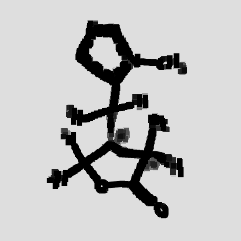 [2H]C1([2H])OC(=O)[C@@]([2H])(CC)[C@H]1C([2H])([2H])c1cncn1C